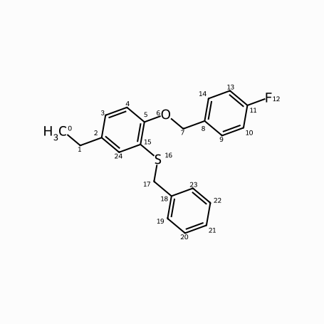 CCc1ccc(OCc2ccc(F)cc2)c(SCc2ccccc2)c1